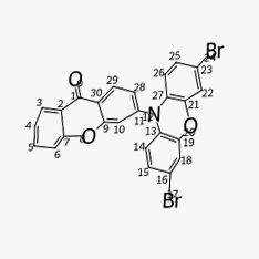 O=c1c2ccccc2oc2cc(N3c4ccc(Br)cc4Oc4cc(Br)ccc43)ccc12